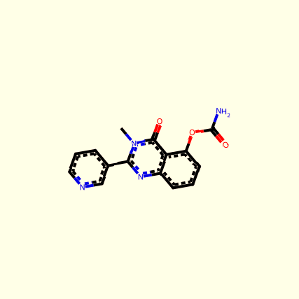 Cn1c(-c2cccnc2)nc2cccc(OC(N)=O)c2c1=O